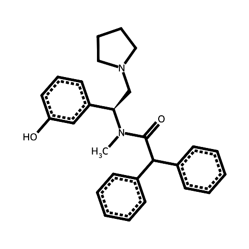 CN(C(=O)C(c1ccccc1)c1ccccc1)[C@H](CN1CCCC1)c1cccc(O)c1